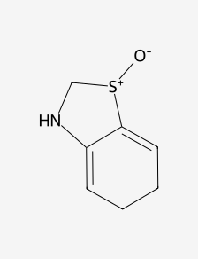 [O-][S+]1CNC2=CCCC=C21